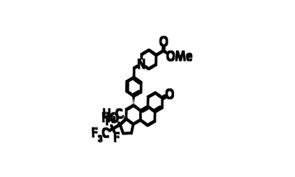 COC(=O)C1CCN(Cc2ccc([C@H]3C[C@@]4(C)C(CC[C@]4(O)C(F)(F)C(F)(F)F)C4CCC5=CC(=O)CCC5=C43)cc2)CC1